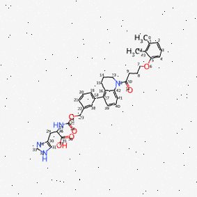 Cc1cccc(OCCCC(=O)N2CCCc3c(-c4cccc(COC(=O)NC(Cc5c[nH]cn5)C(=O)O)c4)cccc32)c1C